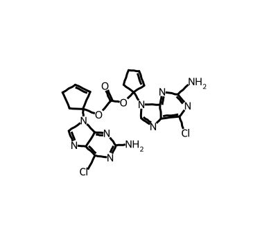 Nc1nc(Cl)c2ncn(C3(OC(=O)OC4(n5cnc6c(Cl)nc(N)nc65)C=CCC4)C=CCC3)c2n1